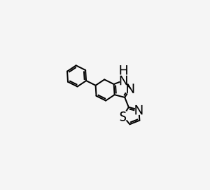 C1=CC(c2ccccc2)Cc2[nH]nc(-c3nccs3)c21